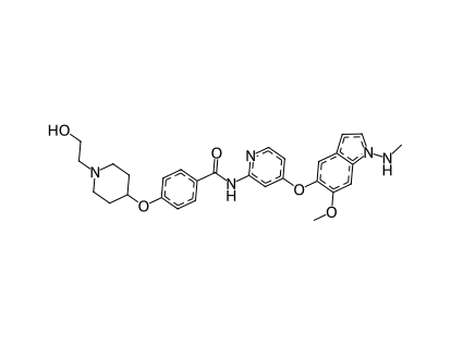 CNn1ccc2cc(Oc3ccnc(NC(=O)c4ccc(OC5CCN(CCO)CC5)cc4)c3)c(OC)cc21